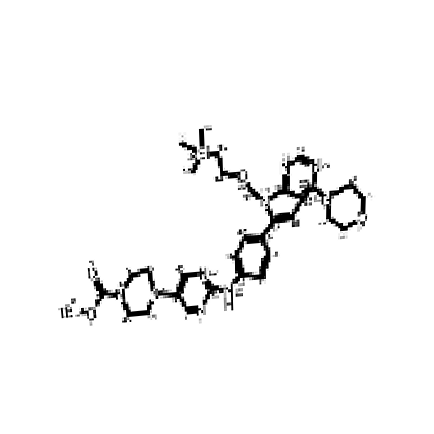 CC(C)(C)OC(=O)N1CCN(c2cnc(Nc3ccc(-c4cc5c(N6CCOCC6)ncnc5n4COCC[Si](C)(C)C)cc3)nc2)CC1